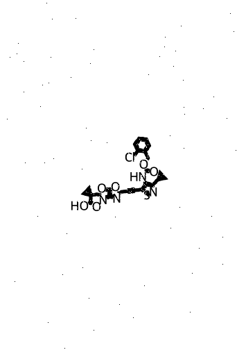 O=C(Nc1c(C2CC2)nsc1C#Cc1nc2nc(C3(C(=O)O)CC3)oc2o1)OCc1ccccc1Cl